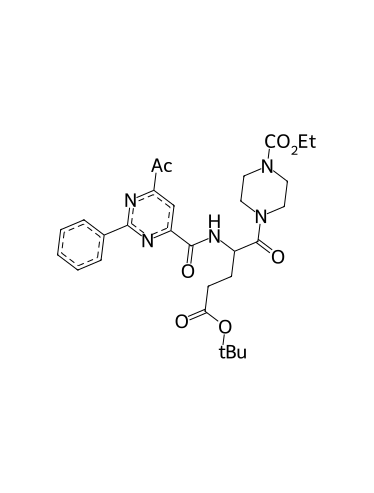 CCOC(=O)N1CCN(C(=O)C(CCC(=O)OC(C)(C)C)NC(=O)c2cc(C(C)=O)nc(-c3ccccc3)n2)CC1